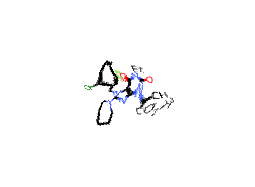 CCn1c(=O)c2c(nc(N3CCCCC3)n2Cc2c(F)cccc2Cl)n(C(C)C(=O)O)c1=O